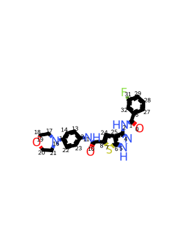 O=C(Nc1n[nH]c2sc(C(=O)Nc3ccc(N4CCOCC4)cc3)cc12)c1cccc(F)c1